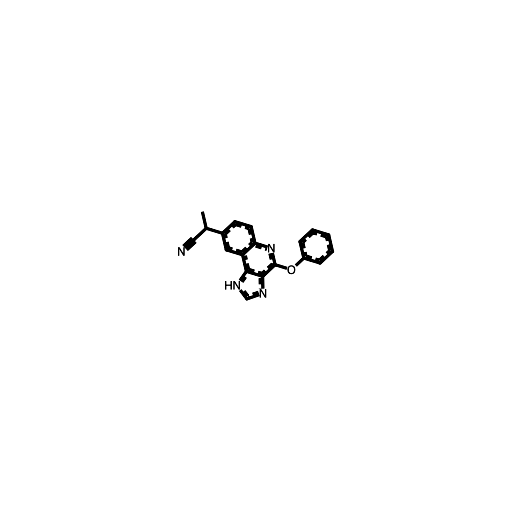 CC(C#N)c1ccc2nc(Oc3ccccc3)c3nc[nH]c3c2c1